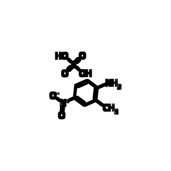 Cc1cc([N+](=O)[O-])ccc1N.O=S(=O)(O)O